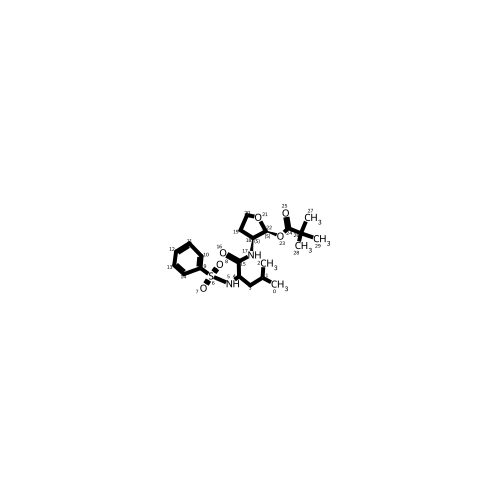 CC(C)CC(NS(=O)(=O)c1ccccc1)C(=O)N[C@H]1CCO[C@H]1OC(=O)C(C)(C)C